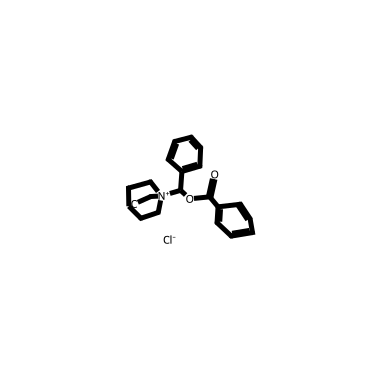 O=C(OC(c1ccccc1)[N+]12CCC(CC1)CC2)c1ccccc1.[Cl-]